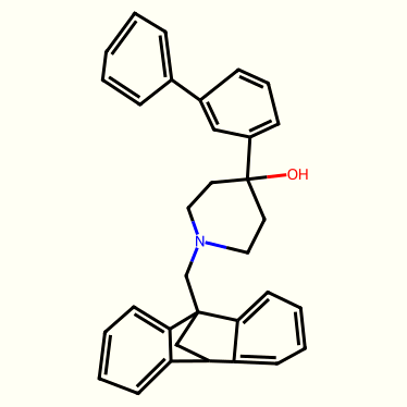 OC1(c2cccc(-c3ccccc3)c2)CCN(CC23CC(c4ccccc42)c2ccccc23)CC1